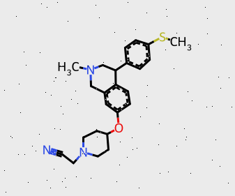 CSc1ccc(C2CN(C)Cc3cc(OC4CCN(CC#N)CC4)ccc32)cc1